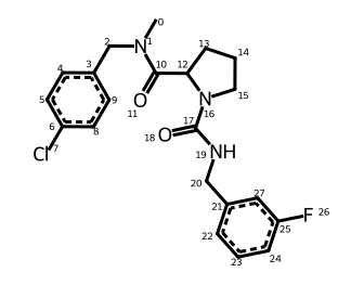 CN(Cc1ccc(Cl)cc1)C(=O)C1CCCN1C(=O)NCc1cccc(F)c1